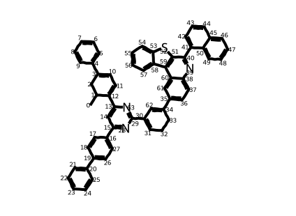 CC1CC(c2ccccc2)=CC=C1c1cc(-c2ccc(-c3ccccc3)cc2)nc(C2=CCCC(c3ccc4nc(-c5cccc6ccccc56)c5sc6ccccc6c5c4c3)=C2)n1